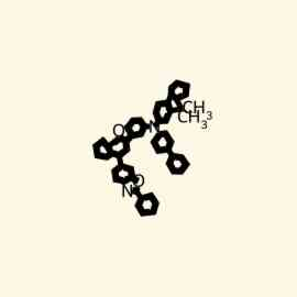 CC1(C)c2ccccc2-c2ccc(N(c3ccc(-c4ccccc4)cc3)c3ccc4oc5c6ccccc6c(-c6ccc7nc(-c8ccccc8)oc7c6)cc5c4c3)cc21